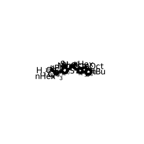 CCCCCCCCC1(CCCCCCCC)c2cc(-c3sc(-c4ccc(-c5cc(CCCCCC)c(C(C)(C)CCC)s5)c5nsnc45)cc3CCCCCC)ccc2-c2ccc(C(C)(C)C)cc21